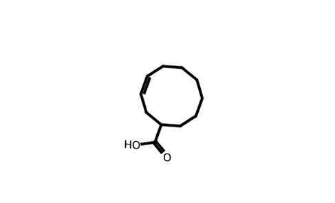 O=C(O)C1CC=CCCCCCC1